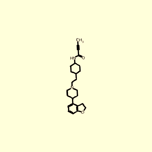 CC#CC(=O)NC1CCC(CCN2CCC(c3cccc4c3CCO4)CC2)CC1